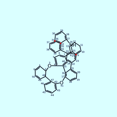 C1=CC2Oc3ccc(C4C=CCCC4)cc3-c3c(cccc3-c3ccc(Nc4ccccc4)c(-c4ccccc4)c3)Oc3ccccc3C2C=C1